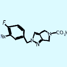 O=C(O)N1Cc2cn(Cc3ccc(F)c(Br)c3)nc2C1